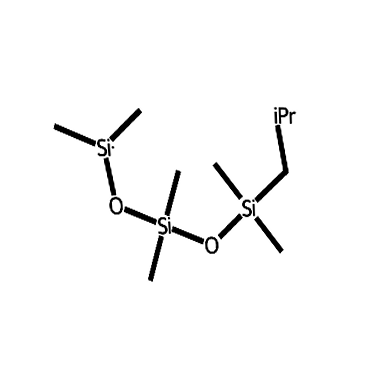 CC(C)C[Si](C)(C)O[Si](C)(C)O[Si](C)C